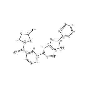 O=C(c1cccc(-c2cnc3[nH]c(-c4ccccc4)cc3c2)n1)N1CCC(F)C1